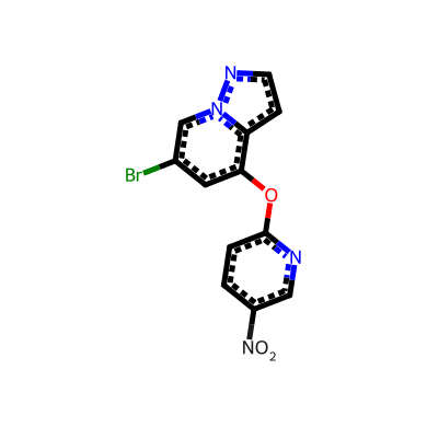 O=[N+]([O-])c1ccc(Oc2cc(Br)cn3nccc23)nc1